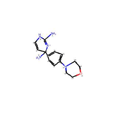 NC1=NC(N)(c2ccc(N3CCOCC3)cc2)C=CN1